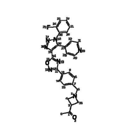 CC(=O)C1CN(Cc2ccc(-c3noc(-c4nnn(-c5ccccc5F)c4-c4ccncc4)n3)cc2)C1